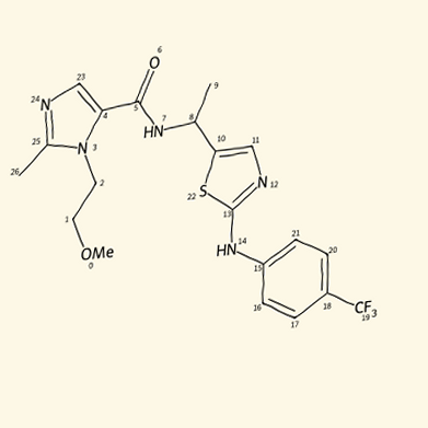 COCCn1c(C(=O)NC(C)c2cnc(Nc3ccc(C(F)(F)F)cc3)s2)cnc1C